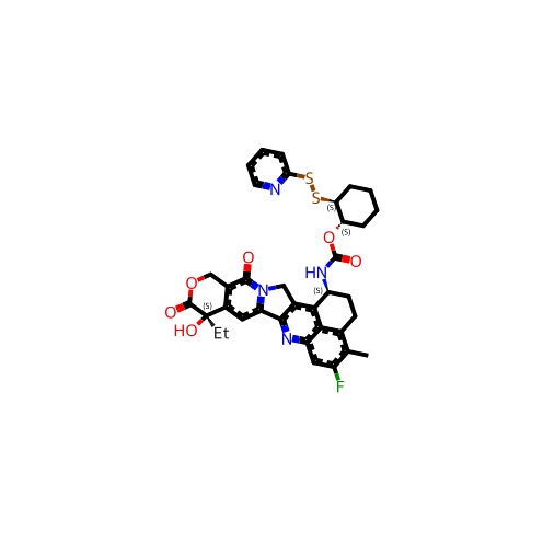 CC[C@@]1(O)C(=O)OCc2c1cc1n(c2=O)Cc2c-1nc1cc(F)c(C)c3c1c2[C@@H](NC(=O)O[C@H]1CCCC[C@@H]1SSc1ccccn1)CC3